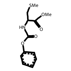 COC(=O)C(CSC)NC(=O)Oc1ccccc1